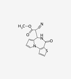 COC(=O)C(C#N)C1NC(=O)c2sccc2-n2cccc21